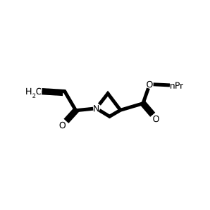 C=CC(=O)N1CC(C(=O)OCCC)C1